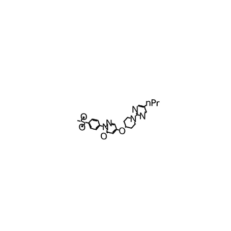 CCCc1cnc(N2CCC(Oc3cnn(-c4ccc(S(C)(=O)=O)cc4)c(=O)c3)CC2)nc1